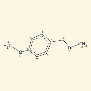 COc1ccc(C[Te]C)cc1